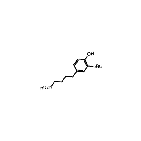 CCCCCCCCCCCCCc1ccc(O)c(CCCC)c1